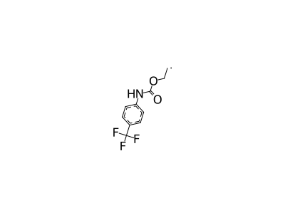 [CH2]COC(=O)Nc1ccc(C(F)(F)F)cc1